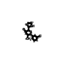 Cc1cc(=O)c(-c2nnn[nH]2)nn1-c1cccc(Cl)c1